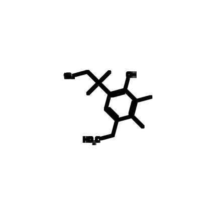 Cc1c(CC(=O)O)cc(C(C)(C)CC(C)(C)C)c(O)c1C